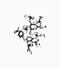 COC(=O)C1O[C@@H](OC[C@H]2O[C@@H](Oc3ccc(C(=O)Cl)cc3)[C@H](OC(C)=O)[C@@H](OC(C)=O)[C@H]2OC(C)=O)[C@H](OC(C)=O)[C@@H](OC(C)=O)[C@@H]1OC(C)=O